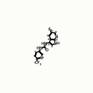 O=C(Nc1ccc(C(F)(F)F)nc1)Nc1c[nH]c2ncc(F)cc12